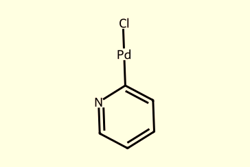 [Cl][Pd][c]1ccccn1